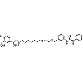 O=C(Nc1ccccc1)Nc1cccc(COCCOCCCCCCCNC[C@@H](O)c2ccc(O)c(CO)c2)c1